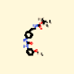 COc1cccc(NC(=O)Nc2ccc(CCNC(=O)OC(C)(C)C)cc2)c1